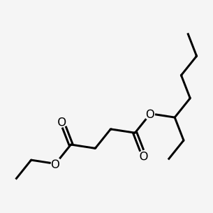 CCCCC(CC)OC(=O)CCC(=O)OCC